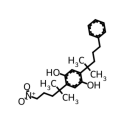 CC(C)(CCCc1ccccc1)c1cc(O)c(C(C)(C)CCC[N+](=O)[O-])cc1O